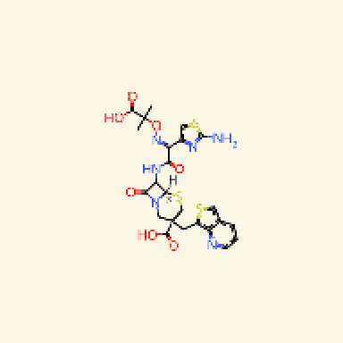 CC(C)(ON=C(C(=O)NC1C(=O)N2CC(Cc3scc4cccnc34)(C(=O)O)CS[C@H]12)c1csc(N)n1)C(=O)O